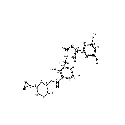 Cc1cc(NCC2CN(C3CC3)CCO2)c(F)c(Nc2ncn(-c3cc(F)cc(F)c3)n2)c1